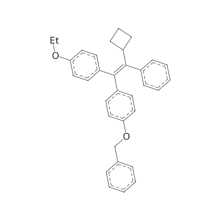 CCOc1ccc(/C(=C(/c2ccccc2)C2CCC2)c2ccc(OCc3ccccc3)cc2)cc1